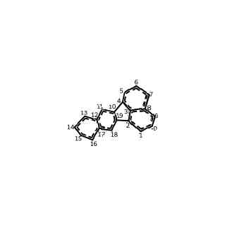 [c]1cc2c3c(cccc3c1)-c1cc3ccccc3cc1-2